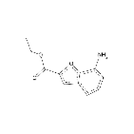 CCOC(=O)c1cc2cccc(N)c2o1